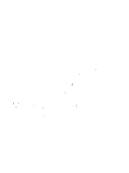 COC(=O)[C@H]1CC[C@H]2O[C@@H](c3ccccc3)OC[C@H]2O1